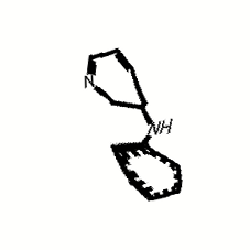 C1=CC(Nc2ccccc2)CN=C1